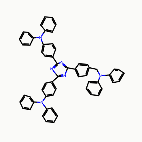 c1ccc(N(Cc2ccc(-c3nc(-c4ccc(N(c5ccccc5)c5ccccc5)cc4)nc(-c4ccc(N(c5ccccc5)c5ccccc5)cc4)n3)cc2)c2ccccc2)cc1